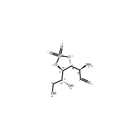 N[C@@H](C=O)[C@H]1OS(=O)(=O)O[C@@H]1[C@H](O)CO